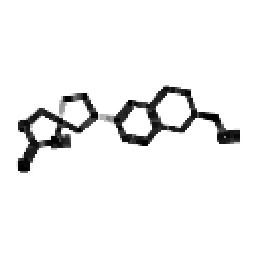 O=C1N[C@@]2(CC[C@H](c3ccc4c(c3)CC[C@@H](CO)C4)C2)CO1